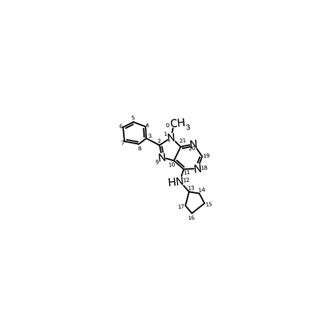 Cn1c(-c2ccccc2)nc2c(NC3CCCC3)ncnc21